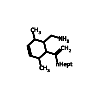 C=C(CCCCCCC)C1C(C)C=CC(C)C1CN